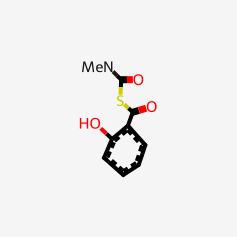 CNC(=O)SC(=O)c1ccccc1O